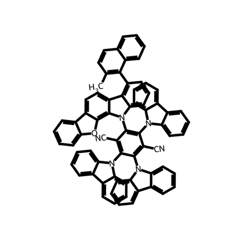 Cc1ccc2ccccc2c1-c1cccc2c1c1ccc3c4ccccc4oc3c1n2-c1c(C#N)c(-n2c3ccccc3c3ccccc32)c(-n2c3ccccc3c3ccccc32)c(C#N)c1-n1c2ccccc2c2ccccc21